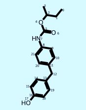 CCC(C)OC(=O)Nc1ccc(Cc2ccc(O)cc2)cc1